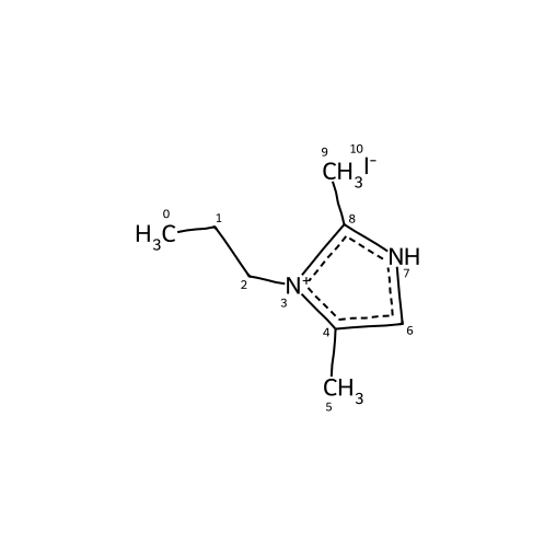 CCC[n+]1c(C)c[nH]c1C.[I-]